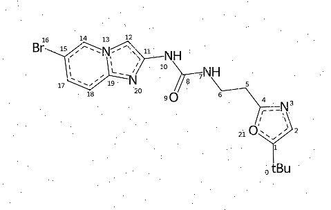 CC(C)(C)c1cnc(CCNC(=O)Nc2cn3cc(Br)ccc3n2)o1